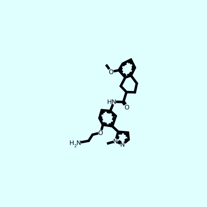 COc1cccc2c1CC(C(=O)Nc1ccc(OCCN)c(-c3ccnn3C)c1)CC2